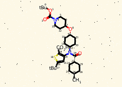 CC(C)(C)OC(=O)N1CCC(O[C@H]2CC[C@H](N(c3cc(C(C)(C)C)sc3C(=O)O)C(=O)[C@H]3CC[C@H](C)CC3)CC2)CC1